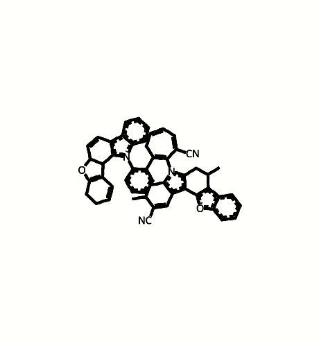 CC1Cc2c(c3c(n2C2=C(c4ccccc4-n4c5c(c6ccccc64)C=CC4OC6=C(C=CCC6)C54)CC=CC=C2C#N)CC(C)c2c-3oc3ccccc23)C=C1C#N